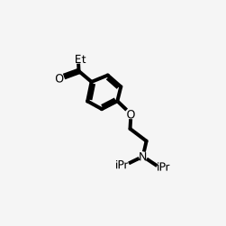 CCC(=O)c1ccc(OCCN(C(C)C)C(C)C)cc1